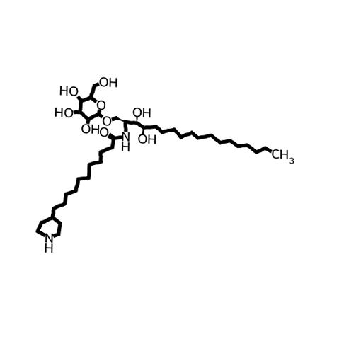 CCCCCCCCCCCCCC[C@@H](O)[C@@H](O)[C@H](COC1OC(CO)C(O)C(O)C1O)NC(=O)CCCCCCCCCCC1CCNCC1